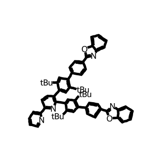 CC(C)(C)c1cc(-c2ccc(-c3ccccn3)nc2-c2cc(C(C)(C)C)c(-c3ccc(-c4nc5ccccc5o4)cc3)cc2C(C)(C)C)c(C(C)(C)C)cc1-c1ccc(-c2nc3ccccc3o2)cc1